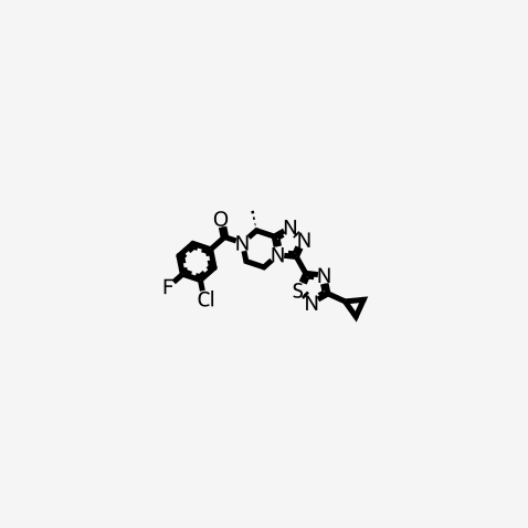 C[C@@H]1c2nnc(-c3nc(C4CC4)ns3)n2CCN1C(=O)c1ccc(F)c(Cl)c1